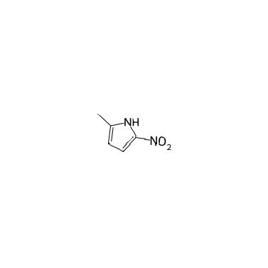 Cc1ccc([N+](=O)[O-])[nH]1